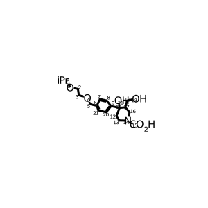 CC(C)OCCOCc1ccc(C2(O)CCN(C(=O)O)CC2CO)cc1